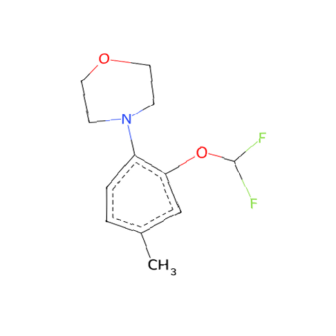 Cc1ccc(N2CCOCC2)c(OC(F)F)c1